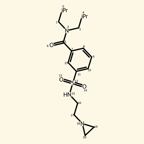 CC(C)CN(CC(C)C)C(=O)c1cccc(S(=O)(=O)NCCN2CC2)c1